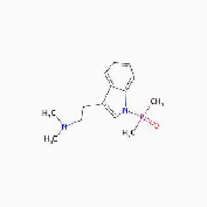 CN(C)CCc1cn(P(C)(C)=O)c2ccccc12